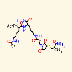 CCC(=O)NCCCCC(NC(C)=O)C(=O)NC(CCCCNC(=O)CCN1C(=O)CC(SCC(C)C(N)=O)C1=O)C(N)=O